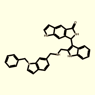 O=C1NC(c2c(CNCc3ccc4ccn(Cc5ccccc5)c4c3)[nH]c3ccccc23)c2cc3[nH]ccc3cc21